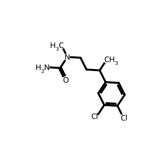 CC(CCN(C)C(N)=O)c1ccc(Cl)c(Cl)c1